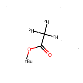 [2H]C([2H])([2H])C(=O)OC(C)(C)C